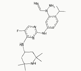 CC(C)c1ccc(Nc2ncc(F)c(NC3CC(C)(C)NC(C)(C)C3)n2)cc1N(N)C=N